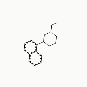 [CH2]CN1CCCC(c2cccc3ccccc23)C1